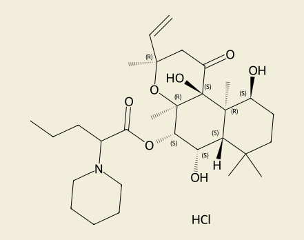 C=C[C@@]1(C)CC(=O)[C@]2(O)[C@@]3(C)[C@@H](O)CCC(C)(C)[C@@H]3[C@H](O)[C@H](OC(=O)C(CCC)N3CCCCC3)[C@@]2(C)O1.Cl